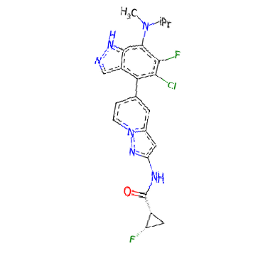 CC(C)N(C)c1c(F)c(Cl)c(-c2ccn3nc(NC(=O)[C@@H]4C[C@@H]4F)cc3c2)c2cn[nH]c12